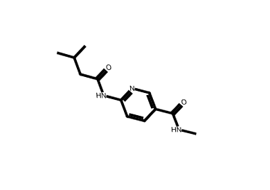 CNC(=O)c1ccc(NC(=O)CC(C)C)nc1